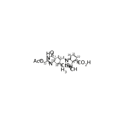 C#CCN(Cc1cc2c(=O)[nH]c(COC(C)=O)nc2cc1C)c1cccc(C(=O)O)c1C(C)(C)C